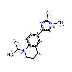 Cc1nc(-c2ccc3c(c2)CCCN3C(C)C)cn1C